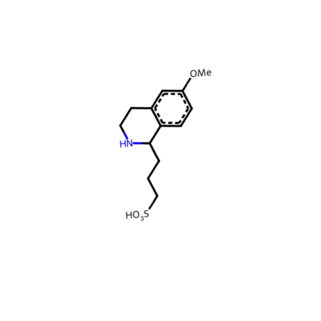 COc1ccc2c(c1)CCNC2CCCS(=O)(=O)O